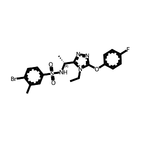 CCn1c(Oc2ccc(F)cc2)nnc1[C@@H](C)NS(=O)(=O)c1ccc(Br)c(C)c1